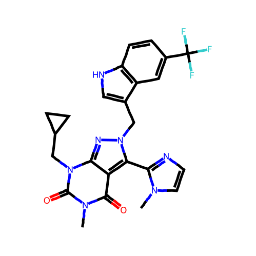 Cn1ccnc1-c1c2c(=O)n(C)c(=O)n(CC3CC3)c2nn1Cc1c[nH]c2ccc(C(F)(F)F)cc12